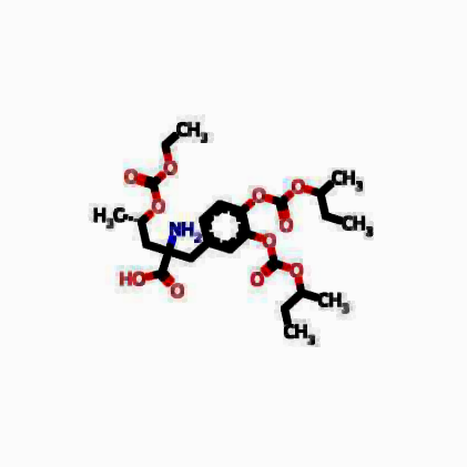 CCOC(=O)O[C@@H](C)CC(N)(Cc1ccc(OC(=O)OC(C)CC)c(OC(=O)OC(C)CC)c1)C(=O)O